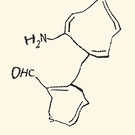 Nc1ccccc1-c1ccsc1C=O